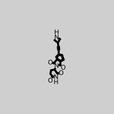 O=C1CCC(N2C(=O)c3ccc(C#CC4CNC4)cc3C2=O)C(=O)N1